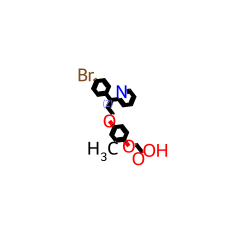 Cc1cc(OC/C=C(/c2ccc(Br)cc2)c2ccccn2)ccc1OCC(=O)O